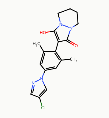 Cc1cc(-n2cc(Cl)cn2)cc(C)c1-c1c(O)n2n(c1=O)CCCC2